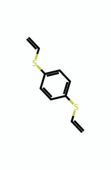 C=CSc1ccc(SC=C)cc1